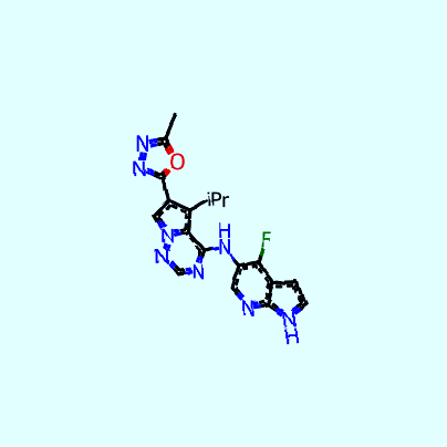 Cc1nnc(-c2cn3ncnc(Nc4cnc5[nH]ccc5c4F)c3c2C(C)C)o1